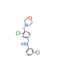 Clc1cccc(NCc2ccc(CN3CCOCC3)c(Cl)c2)c1